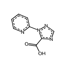 O=C(O)c1ncnn1-c1ccccn1